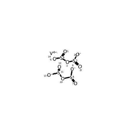 O=S([O-])OS(=O)[O-].O=S([O-])OS(=O)[O-].[V+4]